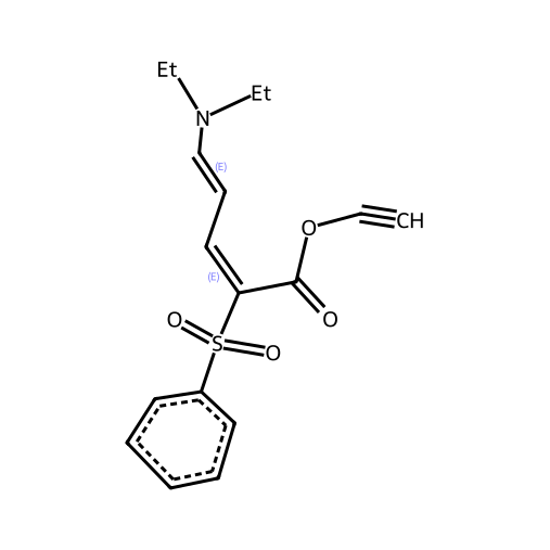 C#COC(=O)/C(=C\C=C\N(CC)CC)S(=O)(=O)c1ccccc1